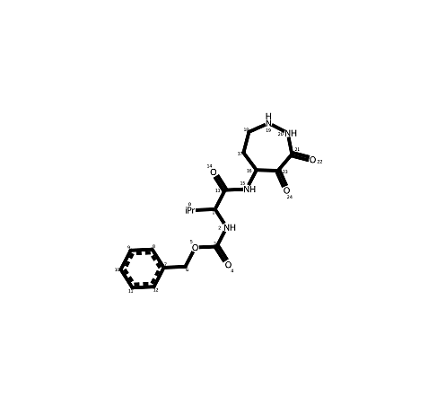 CC(C)C(NC(=O)OCc1ccccc1)C(=O)NC1CCNNC(=O)C1=O